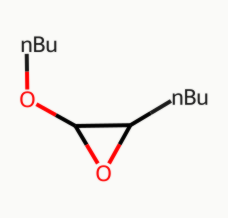 CCCCOC1OC1CCCC